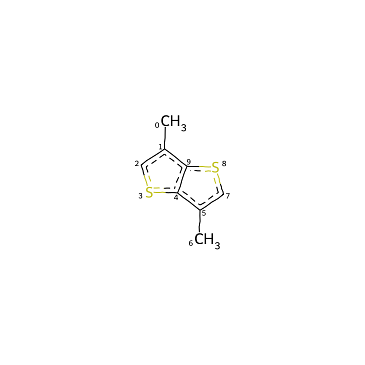 Cc1csc2c(C)csc12